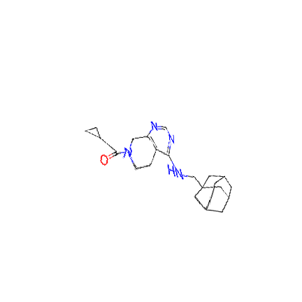 O=C(C1CC1)N1CCc2c(ncnc2NCC23CC4CC(CC(C4)C2)C3)C1